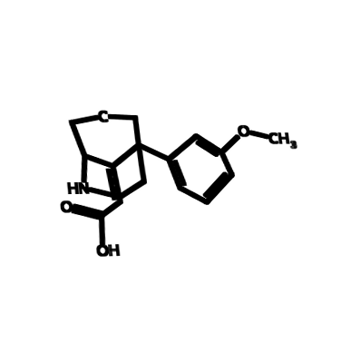 COc1cccc(C23CCCC(NCC2)C3=CC(=O)O)c1